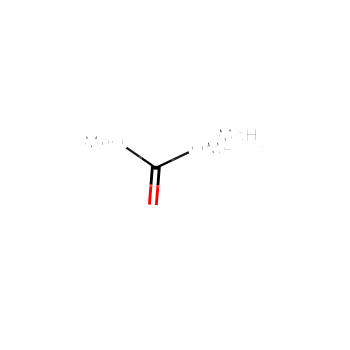 COC(=O)OC.[MgH2]